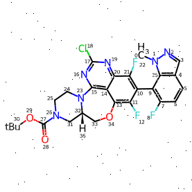 Cn1ncc2ccc(F)c(-c3c(F)c4c5c(nc(Cl)nc5c3F)N3CCN(C(=O)OC(C)(C)C)C[C@H]3CO4)c21